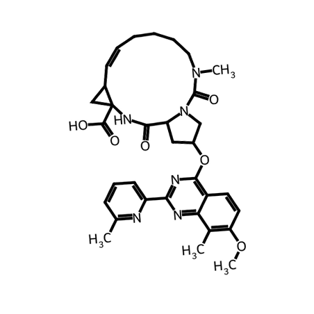 COc1ccc2c(OC3CC4C(=O)NC5(C(=O)O)CC5C=CCCCCN(C)C(=O)N4C3)nc(-c3cccc(C)n3)nc2c1C